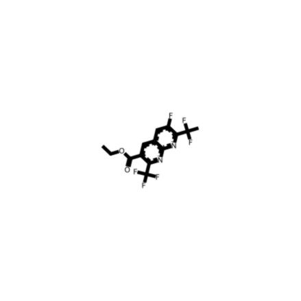 CCOC(=O)c1cc2cc(F)c(C(C)(F)F)nc2nc1C(F)(F)F